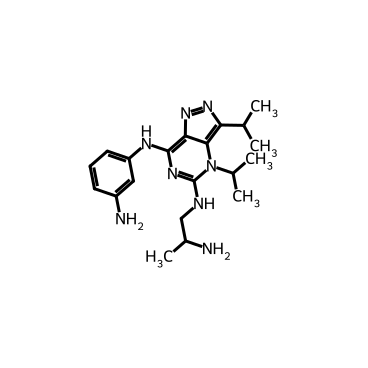 CC(N)CNc1nc(Nc2cccc(N)c2)c2nnc(C(C)C)c-2n1C(C)C